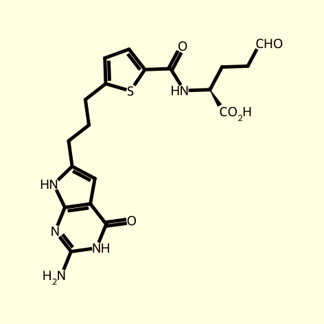 Nc1nc2[nH]c(CCCc3ccc(C(=O)N[C@@H](CCC=O)C(=O)O)s3)cc2c(=O)[nH]1